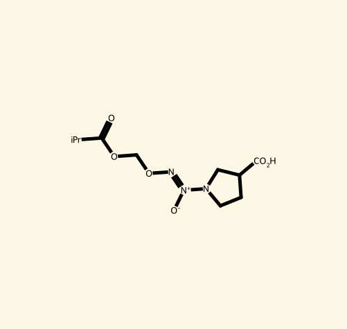 CC(C)C(=O)OCON=[N+]([O-])N1CCC(C(=O)O)C1